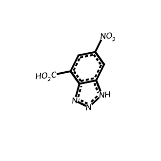 O=C(O)c1cc([N+](=O)[O-])cc2[nH]nnc12